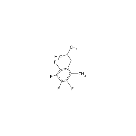 Cc1c(F)c(F)c(F)c(F)c1CC(C)C